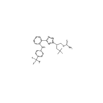 CC(C)(C)CC(COC(N)=O)n1nnc(-c2ccccc2Nc2ccc(C(F)(F)F)cc2)n1